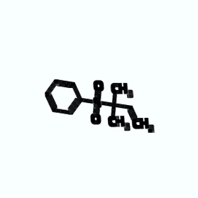 C=CC(C)(C)S(=O)(=O)c1ccccc1